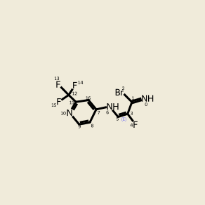 N=C(Br)/C(F)=C\Nc1ccnc(C(F)(F)F)c1